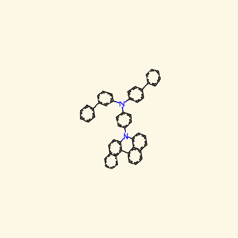 c1ccc(-c2ccc(N(c3ccc(N4c5ccc6ccccc6c5-c5cccc6cccc4c56)cc3)c3cccc(-c4ccccc4)c3)cc2)cc1